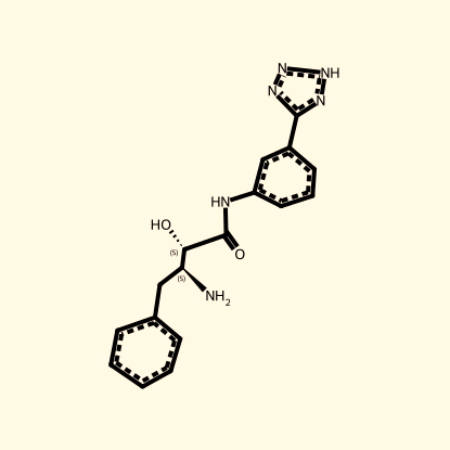 N[C@@H](Cc1ccccc1)[C@H](O)C(=O)Nc1cccc(-c2nn[nH]n2)c1